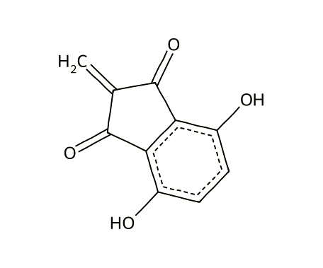 C=C1C(=O)c2c(O)ccc(O)c2C1=O